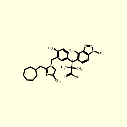 Cc1ccc([C@@H](c2ccc3c(nnn3C)c2C)C(C)(C)C(=O)O)cc1CN1CC(C)N=C1CC1CCCCCC1